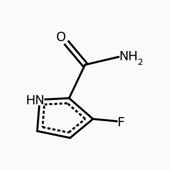 NC(=O)c1[nH]ccc1F